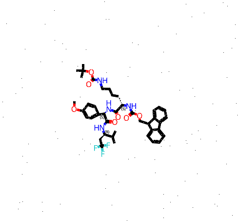 COc1ccc([C@H](NC(=O)[C@H](CCCCNC(=O)OC(C)(C)C)NC(=O)OCC2c3ccccc3-c3ccccc32)C(=O)N[C@H](CC(F)(F)F)C(C)C)cc1